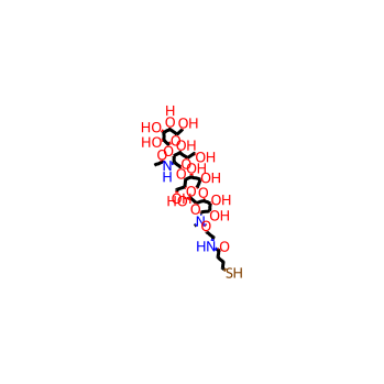 CC(=O)NC1C(O[C@@H]2OC(CO)[C@H](O)C(O)C2O)[C@@H](O)C(CO)O[C@H]1O[C@H]1C(CO)O[C@@H](O[C@@H]2C(CO)O[C@@H](N(C)OCCNC(=O)CCCS)C(O)C2O)C(O)C1O